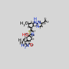 Cc1cc(Nc2nccc(C3CC3)n2)cc(-c2cnc([C@@]3(O)CC[C@H](C(N)=O)C(C)(C)C3)s2)c1